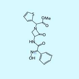 COC(=O)C(c1cccs1)N1CC(NC(=O)/C(=N/O)c2ccccc2)C1=O